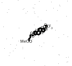 COC(=O)CCCS(=O)(=O)c1ccc2c(c1)CC[C@@H]1[C@@H]2CC[C@]2(C)C(OS(=O)(=O)C(F)(F)F)=CC[C@@H]12